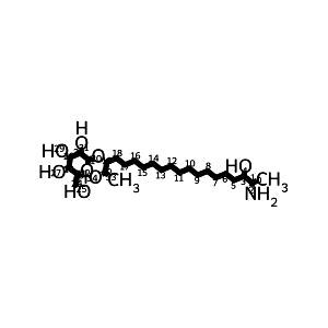 CC(N)C(O)CCCCCCCCCCCCCCC(OC1OC(CO)C(O)C(O)C1O)C(C)O